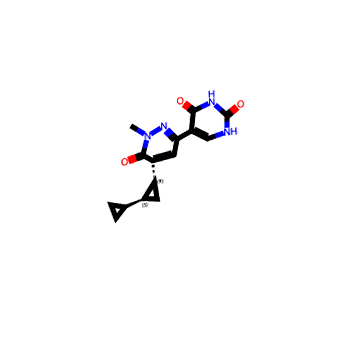 Cn1nc(-c2c[nH]c(=O)[nH]c2=O)cc([C@@H]2C[C@H]2C2CC2)c1=O